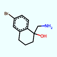 NCC1(O)CCCc2cc(Br)ccc21